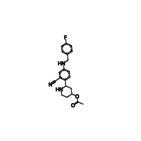 CC(=O)OC1CCNC(c2ccc(NCc3ccc(F)cc3)cc2C#N)C1